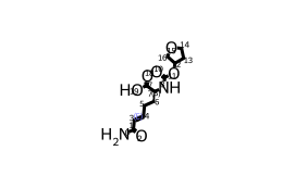 NC(=O)/C=C/CC[C@H](NC(=O)OC1CCOC1)C(=O)O